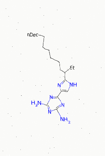 CCCCCCCCCCCCCCCCC(CC)c1nc(-c2nc(N)nc(N)n2)c[nH]1